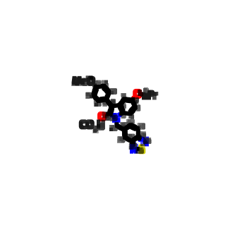 CCCOc1ccc2c(c1)c(-c1ccc(OC)cc1)c(OC(=O)O)n2Cc1ccc2nsnc2c1